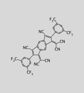 N#CC(C#N)=C1C(c2cc(C(F)(F)F)cc(C(F)(F)F)c2)=C(C#N)c2cc3c(cc21)C(=C(C#N)C#N)C(c1cc(C(F)(F)F)cc(C(F)(F)F)c1)=C3C#N